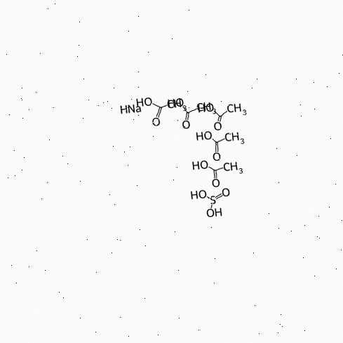 CC(=O)O.CC(=O)O.CC(=O)O.CC(=O)O.CC(=O)O.O=S(O)O.[NaH]